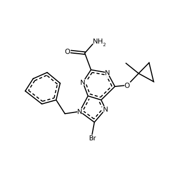 CC1(Oc2nc(C(N)=O)nc3c2nc(Br)n3Cc2ccccc2)CC1